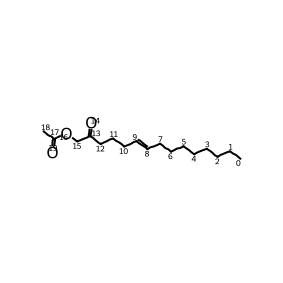 CCCCCCCC/C=C/CCCC(=O)COC(C)=O